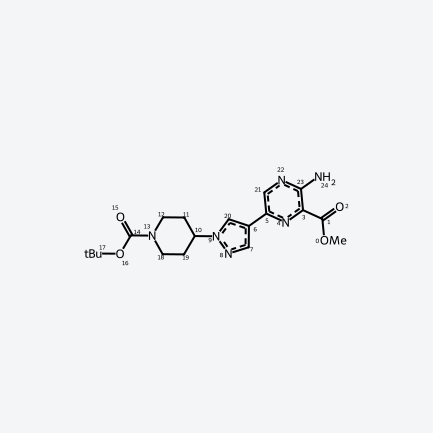 COC(=O)c1nc(-c2cnn(C3CCN(C(=O)OC(C)(C)C)CC3)c2)cnc1N